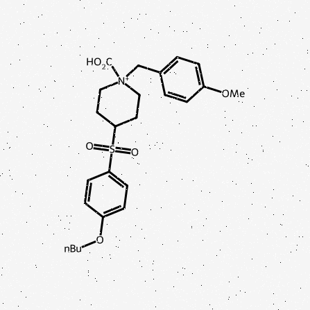 CCCCOc1ccc(S(=O)(=O)C2CC[N+](Cc3ccc(OC)cc3)(C(=O)O)CC2)cc1